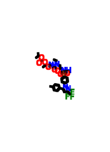 CCN(CC(=O)NS(=O)(=O)c1ccc(-n2nc(C(F)(F)F)cc2-c2ccc(C)cc2)cc1)/[N+]([O-])=N/OC(C)OC(=O)OC(C)C